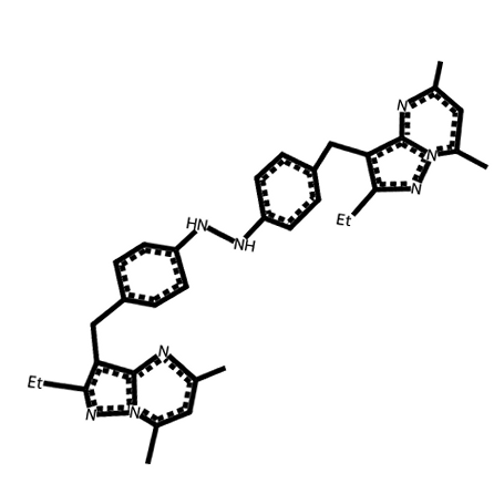 CCc1nn2c(C)cc(C)nc2c1Cc1ccc(NNc2ccc(Cc3c(CC)nn4c(C)cc(C)nc34)cc2)cc1